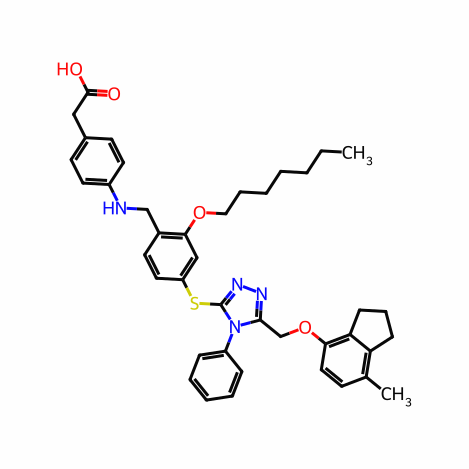 CCCCCCCOc1cc(Sc2nnc(COc3ccc(C)c4c3CCC4)n2-c2ccccc2)ccc1CNc1ccc(CC(=O)O)cc1